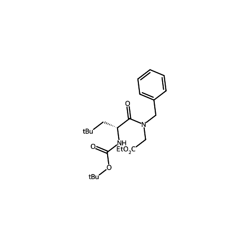 CCOC(=O)CN(Cc1ccccc1)C(=O)[C@@H](CC(C)(C)C)NC(=O)OC(C)(C)C